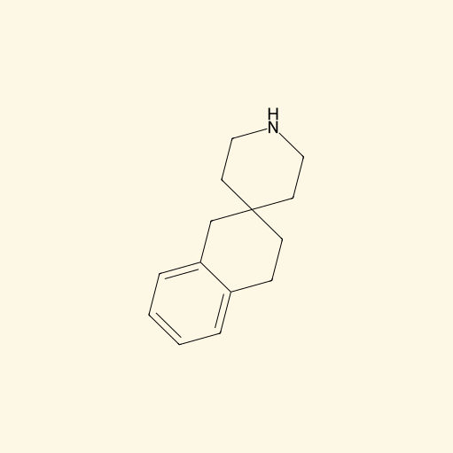 c1ccc2c(c1)CCC1(CCNCC1)C2